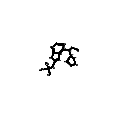 CCN(c1ncnc2sc(CC(F)(F)F)cc12)C1CCCC1